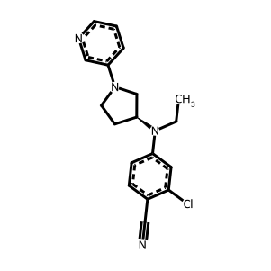 CCN(c1ccc(C#N)c(Cl)c1)[C@H]1CCN(c2cccnc2)C1